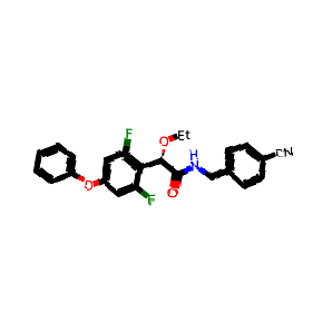 CCO[C@H](C(=O)NCc1ccc(C#N)cc1)c1c(F)cc(Oc2ccccc2)cc1F